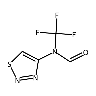 O=CN(c1csnn1)C(F)(F)F